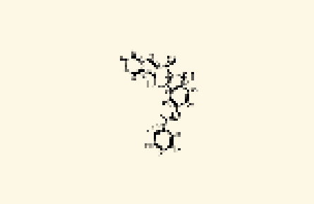 O=C(c1cc2ccccc2[nH]1)c1cc2cc(OCc3ccccc3)ccc2[nH]1